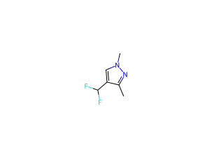 Cc1nn(C)cc1C(F)F